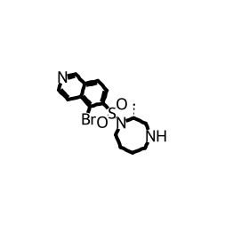 C[C@@H]1CNCCCCN1S(=O)(=O)c1ccc2cnccc2c1Br